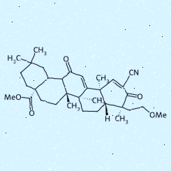 COCC[C@]1(C)C(=O)C(C#N)=C[C@]2(C)C3=CC(=O)C4C5CC(C)(C)CC[C@]5(C(=O)OC)CC[C@@]4(C)[C@]3(C)CC[C@H]21